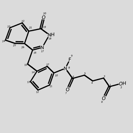 O=C(O)CCCC(=O)N(F)c1cccc(Cc2n[nH]c(=O)c3ccccc23)c1